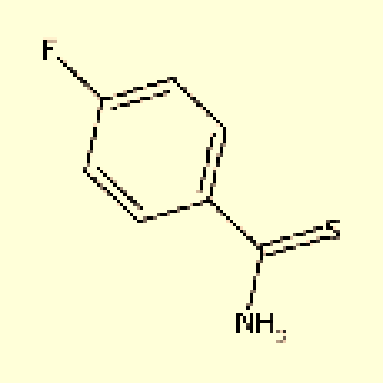 NC(=S)c1ccc(F)cc1